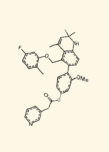 COc1cc(OC(=O)Cc2cccnc2)ccc1-c1ccc2c(c1COc1cc(F)ccc1C)C(C)=CC(C)(C)N2